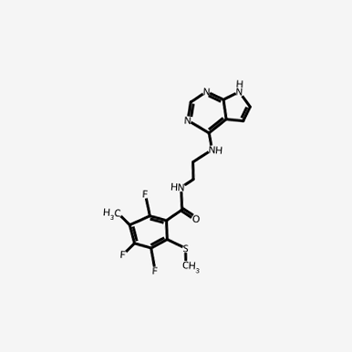 CSc1c(F)c(F)c(C)c(F)c1C(=O)NCCNc1ncnc2[nH]ccc12